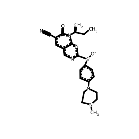 C=C(CC)n1c(=O)c(C#N)cc2cnc([S+]([O-])c3ccc(N4CCN(C)CC4)cc3)nc21